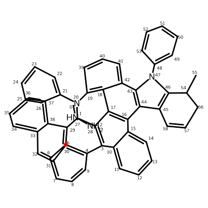 CNc1c(-c2ccccc2)c2ccccc2c2c1c1c(N(c3ccccc3)C(N)c3cccc4ccccc34)cccc1c1c2c2c(n1-c1ccccc1)C(C)CC=C2